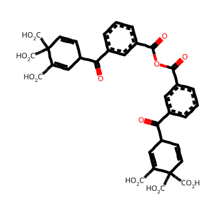 O=C(O)C1=CC(C(=O)c2cccc(C(=O)OC(=O)c3cccc(C(=O)C4C=CC(C(=O)O)(C(=O)O)C(C(=O)O)=C4)c3)c2)C=CC1(C(=O)O)C(=O)O